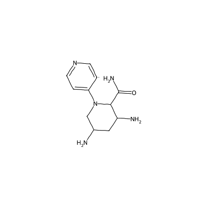 NC(=O)C1C(N)CC(N)CN1c1[c]cncc1